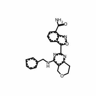 NC(=O)c1cccc2c(-c3nc4c(c(NCc5ccccc5)n3)COCC4)onc12